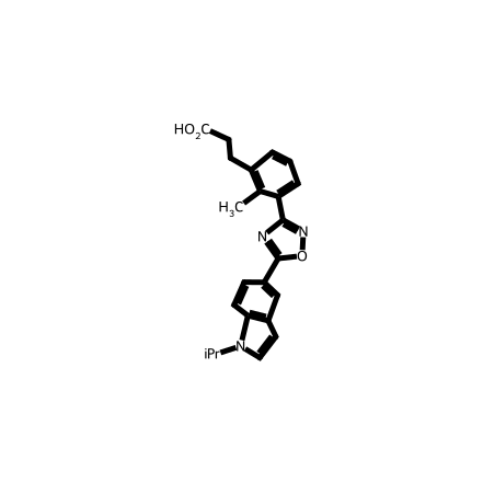 Cc1c(CCC(=O)O)cccc1-c1noc(-c2ccc3c(ccn3C(C)C)c2)n1